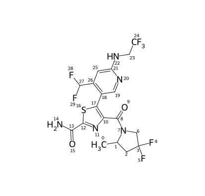 CC1CC(F)(F)CN1C(=O)c1nc(C(N)=O)sc1-c1cnc(NCC(F)(F)F)cc1C(F)F